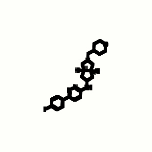 Fc1ccc(-c2ccc(NC3C[C@@H]4CN(CC5CCOCC5)C[C@@H]4C3)nn2)cc1